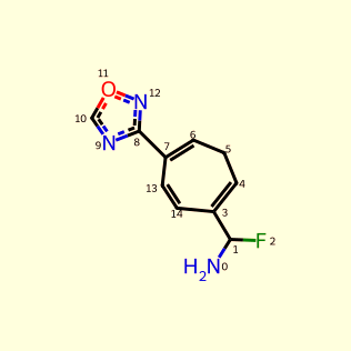 NC(F)C1=CCC=C(c2ncon2)C=C1